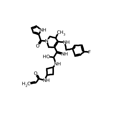 C=CC(=O)NC1CC(NC(O)C(=N)C2=C(NCc3ccc(F)cc3)C(C)CN(C(=O)c3ccc[nH]3)C2)C1